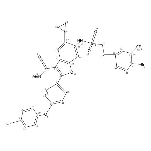 CNC(=O)c1c(-c2ccc(Oc3ccc(F)cc3)cc2)oc2cc(NS(=O)(=O)CCc3ccc(Br)c(C(F)(F)F)c3)c(C3CC3)cc12